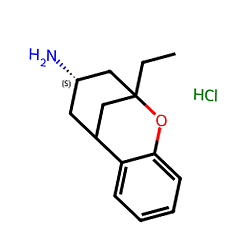 CCC12CC(C[C@H](N)C1)c1ccccc1O2.Cl